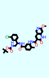 COc1cc2[nH]c(=O)c(C(=O)Nc3cc(C(=O)NC(CNC(=O)OC(C)(C)C)c4cccc(Cl)c4)ccc3C)cc2cn1